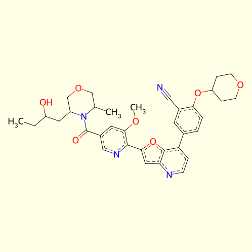 CCC(O)CC1COCC(C)N1C(=O)c1cnc(-c2cc3nccc(-c4ccc(OC5CCOCC5)c(C#N)c4)c3o2)c(OC)c1